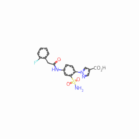 NS(=O)(=O)c1cc(NC(=O)Cc2ccccc2F)ccc1-n1cc(C(=O)O)cn1